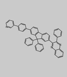 c1ccc(-c2nc3ccccc3nc2-c2ccc3c(c2)C(c2ccccc2)(c2ccccc2)c2cc(-c4ccc(-c5cccnc5)cc4)ccc2-3)cc1